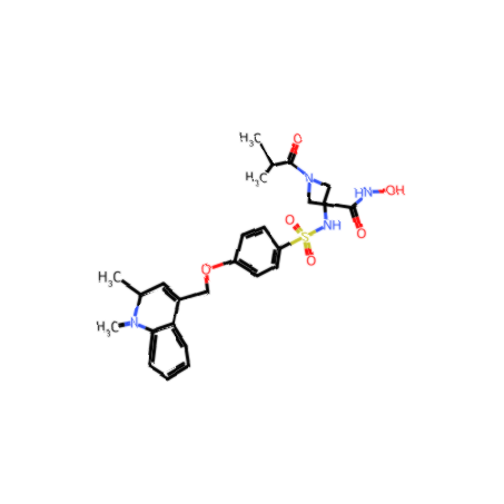 CC(C)C(=O)N1CC(NS(=O)(=O)c2ccc(OCC3=CC(C)N(C)c4ccccc43)cc2)(C(=O)NO)C1